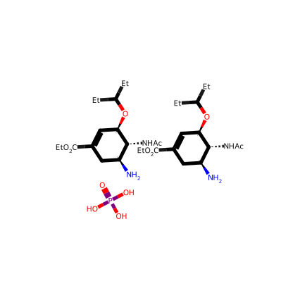 CCOC(=O)C1=C[C@@H](OC(CC)CC)[C@H](NC(C)=O)[C@@H](N)C1.CCOC(=O)C1=C[C@@H](OC(CC)CC)[C@H](NC(C)=O)[C@@H](N)C1.O=P(O)(O)O